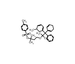 Cc1ccc(S(=O)(=O)OC(C)(C)CCOC(C)(C)C(C2=CCCC=C2)(C2=CC=CC(C)C2)c2ccccc2)cc1